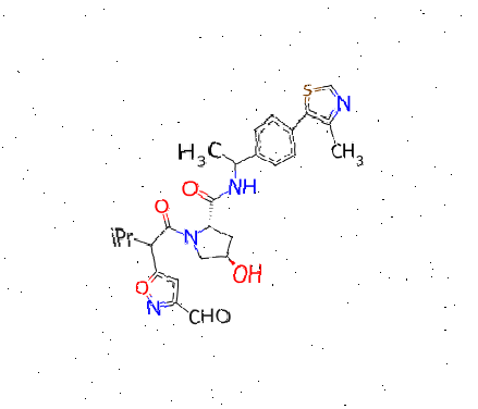 Cc1ncsc1-c1ccc(C(C)NC(=O)[C@@H]2C[C@@H](O)CN2C(=O)C(c2cc(C=O)no2)C(C)C)cc1